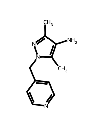 Cc1nn(Cc2ccncc2)c(C)c1N